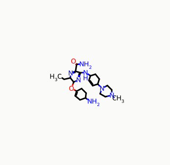 CCC1N=C(C(N)=O)C(NC2C=CC(N3CCN(C)CC3)CC2)=NC1OC1=CCC(N)CC1